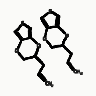 C=CCC1COc2cscc2O1.C=CCC1COc2cscc2O1